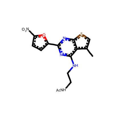 CC(=O)NCCNc1nc(-c2ccc([N+](=O)[O-])o2)nc2scc(C)c12